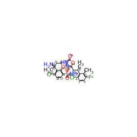 Cc1c(F)ccc(Cl)c1C(C)C(NS(=O)(=O)c1ccc(Cl)c2c1OCCC2(C)N)c1n[nH]c(=O)o1